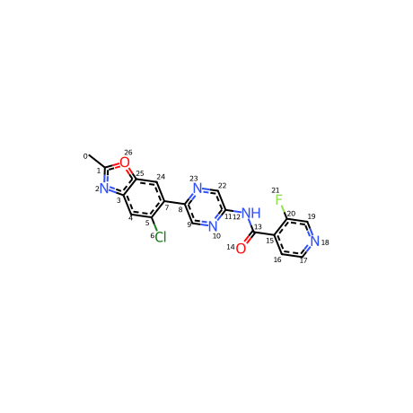 Cc1nc2cc(Cl)c(-c3cnc(NC(=O)c4ccncc4F)cn3)cc2o1